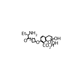 CC[C@@H](N)C(=O)N1CC(Oc2ccc3c(c2C(=O)O)O[B-](O)(O)CC3)C1